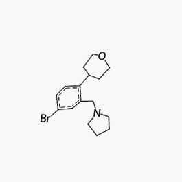 Brc1ccc(C2CCOCC2)c(CN2CCCC2)c1